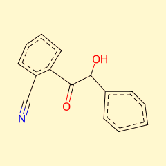 N#Cc1ccccc1C(=O)C(O)c1ccccc1